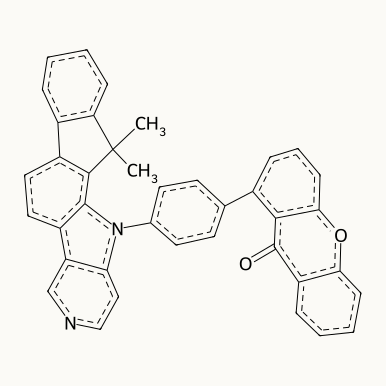 CC1(C)c2ccccc2-c2ccc3c4cnccc4n(-c4ccc(-c5cccc6oc7ccccc7c(=O)c56)cc4)c3c21